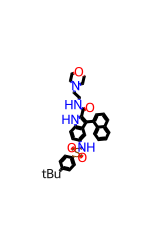 CC(C)(C)c1ccc(S(=O)(=O)Nc2ccc3[nH]c(C(=O)NCCN4CCOCC4)c(-c4cccc5ccccc45)c3c2)cc1